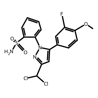 COc1ccc(-c2cc(C(Cl)Cl)nn2-c2ccccc2S(N)(=O)=O)cc1F